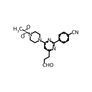 CS(=O)(=O)N1CCN(c2cc(CCC=O)nc(-c3ccc(C#N)cc3)n2)CC1